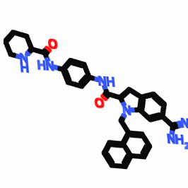 N=C(N)c1ccc2c(c1)N(Cc1cccc3ccccc13)C(C(=O)Nc1ccc(NC(=O)C3CCCCN3)cc1)C2